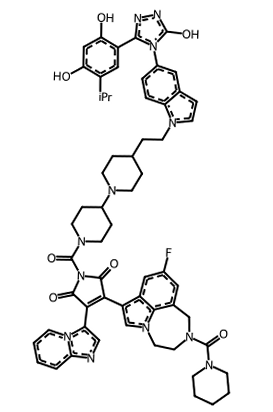 CC(C)c1cc(-c2nnc(O)n2-c2ccc3c(ccn3CCC3CCN(C4CCN(C(=O)N5C(=O)C(c6cn7c8c(cc(F)cc68)CN(C(=O)N6CCCCC6)CC7)=C(c6cnc7ccccn67)C5=O)CC4)CC3)c2)c(O)cc1O